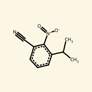 C[C](C)c1cccc(C#N)c1[N+](=O)[O-]